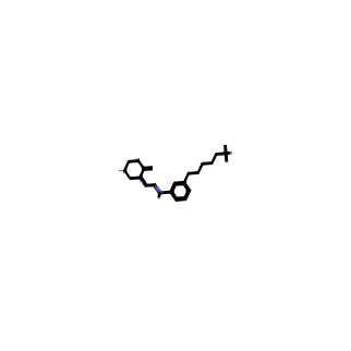 C=C1/C(=C\C=C(/CCC)c2cccc(CCCCCC(C)(C)O)c2)C[C@@H](O)C[C@@H]1O